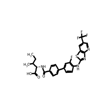 CCC(C)[C@H](NC(=O)c1ccc(-c2ccc(Nc3nc4ncc(C(F)(F)F)cc4s3)c(F)c2)cc1)C(=O)O